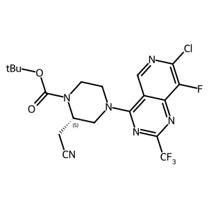 CC(C)(C)OC(=O)N1CCN(c2nc(C(F)(F)F)nc3c(F)c(Cl)ncc23)C[C@@H]1CC#N